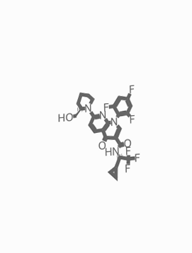 O=C(N[C@@H](C1CC1)C(F)(F)F)c1cn(-c2c(F)cc(F)cc2F)c2nc(N3CCCC[C@@H]3CO)ccc2c1=O